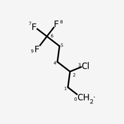 [CH2]CC(Cl)CCC(F)(F)F